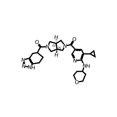 O=C(c1cnc(NC2CCOCC2)c(C2CC2)c1)N1C[C@@H]2CN(C(=O)C3CCc4[nH]nnc4C3)C[C@H]2C1